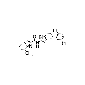 Cc1cccn2cc(C(=O)Nc3nc4cc(-c5cc(Cl)ccc5Cl)ccc4[nH]3)nc12